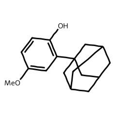 COc1ccc(O)c(C23CC4CC(CC(C4)C2)C3)c1